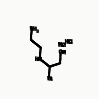 CCC(CO)NCCN.Cl.Cl